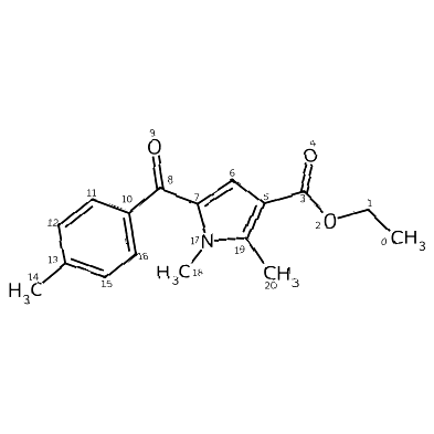 CCOC(=O)c1cc(C(=O)c2ccc(C)cc2)n(C)c1C